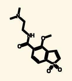 COc1c(C(=O)NCCN(C)C)ccc2c1C=CS2(=O)=O